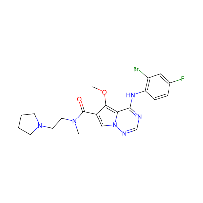 COc1c(C(=O)N(C)CCN2CCCC2)cn2ncnc(Nc3ccc(F)cc3Br)c12